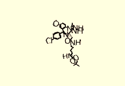 COc1ccc2c(c1)C(c1ccc(Cl)cc1)=N[C@@H](CC(=O)NCCCCNC(=O)OC(C)(C)C)C1NNC(C)N21